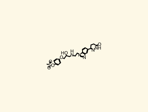 CS(=O)(=O)Oc1ccc(OCC(O)CNCCn2cnc3cc(C4=NNC(=O)CC4)ccc32)cc1